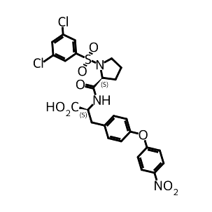 O=C(O)[C@H](Cc1ccc(Oc2ccc([N+](=O)[O-])cc2)cc1)NC(=O)[C@@H]1CCCN1S(=O)(=O)c1cc(Cl)cc(Cl)c1